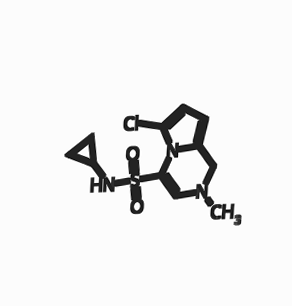 CN1C=C(S(=O)(=O)NC2CC2)n2c(Cl)ccc2C1